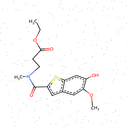 CCOC(=O)CCN(C)C(=O)c1cc2cc(OC)c(O)cc2s1